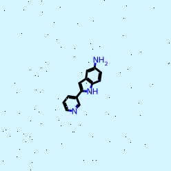 Nc1ccc2[nH]c(-c3cccnc3)cc2c1